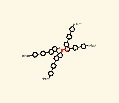 CCCCCCCc1ccc(-c2ccc(-c3ccc(C(=O)Oc4ccc5cc(-c6ccc(-c7ccc(CCCCC)cc7)cc6)ccc5c4-c4c(OC(=O)c5ccc(-c6ccc(-c7ccc(CCCCCCC)cc7)cc6)cc5)ccc5cc(-c6ccc(-c7ccc(CCCCC)cc7)cc6)ccc45)cc3)cc2)cc1